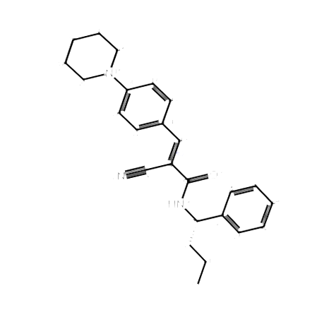 CCC[C@H](NC(=O)/C(C#N)=C/c1ccc(N2CCCCC2)cc1)c1ccccc1